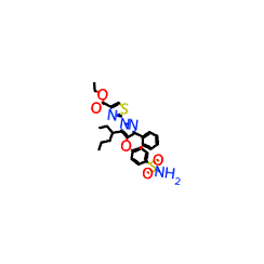 CCCC(CC)c1c(Oc2ccc(S(N)(=O)=O)cc2)c(-c2ccccc2)nn1-c1nc(C(=O)OCC)cs1